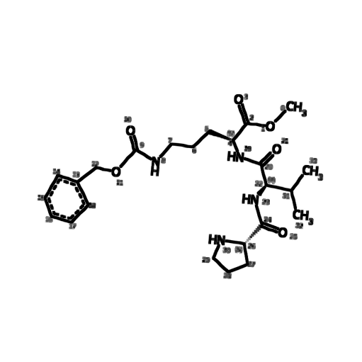 COC(=O)[C@H](CCCNC(=O)OCc1ccccc1)NC(=O)[C@H](NC(=O)[C@@H]1CCCN1)C(C)C